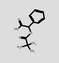 CC(C)(C)C(=O)OC(C(=O)O)c1ccccc1